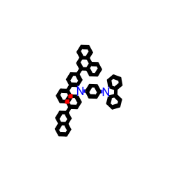 c1ccc(-c2ccc(-c3cc4ccccc4c4ccccc34)cc2N(c2ccc(-c3ccc4ccccc4c3)cc2)c2ccc(-n3c4ccccc4c4ccccc43)cc2)cc1